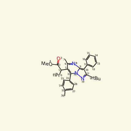 CCCC(C(=O)OC)c1c(C)nc2c(-c3ccccc3)c(C(C)(C)C)nn2c1-c1ccc(C)cc1